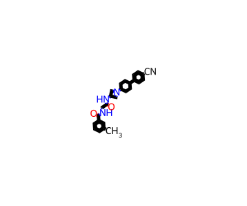 Cc1cccc(C(=O)NCC(=O)NC2CN(C3CCC(c4ccc(C#N)cc4)CC3)C2)c1